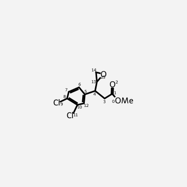 COC(=O)CC(c1ccc(Cl)c(Cl)c1)C1CO1